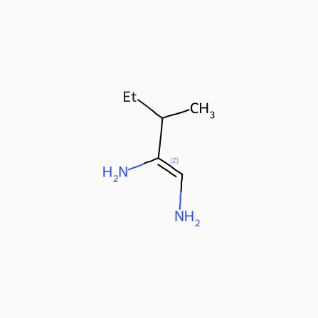 CCC(C)/C(N)=C/N